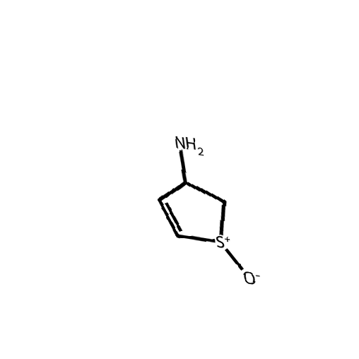 NC1C=C[S+]([O-])C1